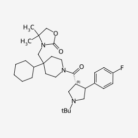 CC(C)(C)N1CC(c2ccc(F)cc2)[C@@H](C(=O)N2CCC(CN3C(=O)OCC3(C)C)(C3CCCCC3)CC2)C1